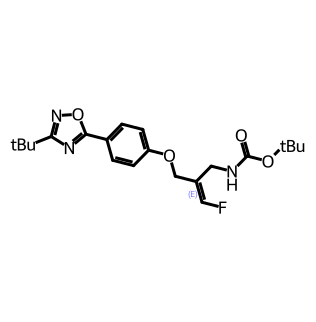 CC(C)(C)OC(=O)NC/C(=C\F)COc1ccc(-c2nc(C(C)(C)C)no2)cc1